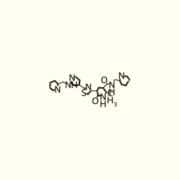 Cc1[nH]c(=O)c(-c2csc(-c3ccnc(NCc4ccccn4)c3)n2)cc1C(=O)NCc1ccccn1